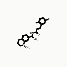 CC(NC(=O)C=Cc1cc(F)ccc1F)c1ccc2c(c1)N(C)CCC2